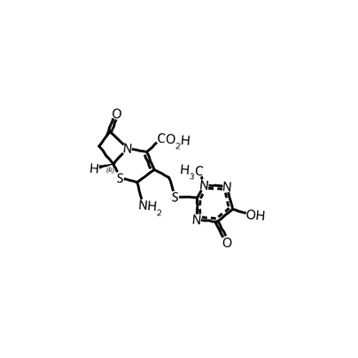 Cn1nc(O)c(=O)nc1SCC1=C(C(=O)O)N2C(=O)C[C@H]2SC1N